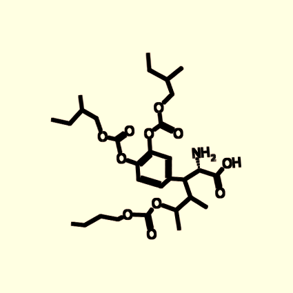 CCCCOC(=O)OC(C)C(C)C(c1ccc(OC(=O)OCC(C)CC)c(OC(=O)OCC(C)CC)c1)[C@H](N)C(=O)O